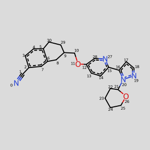 N#Cc1ccc2c(c1)CC(COc1ccc(-c3ccnn3C3CCCCO3)nc1)CC2